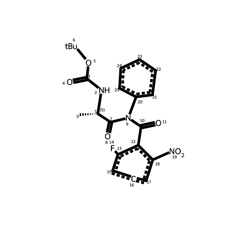 C[C@H](NC(=O)OC(C)(C)C)C(=O)N(C(=O)c1c(F)cccc1[N+](=O)[O-])c1ccccc1